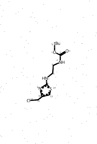 CC(C)(C)OC(=O)NCCNc1nc(CCl)cs1